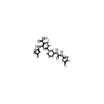 Cc1cc(Nc2nc(N3CCCC(NC(=O)Nc4ncc(C)s4)C3)cnc2C(N)=O)sn1